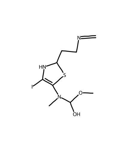 C=NCCC1NC(I)=C(N(C)C(O)OC)S1